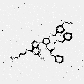 COCCOc1nc(N)nc2c1ncn2[C@H]1C[C@H](OCc2ccc(OC)cc2)[C@H](COCc2ccccc2)[C@@H]1OC(=S)Oc1ccccc1